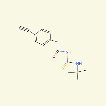 C#Cc1ccc(CC(=O)NC(=S)NC(C)(C)C)cc1